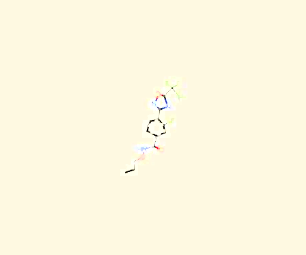 C=CCONC(=O)c1ccc(-c2noc(C(F)(F)F)n2)c(F)c1